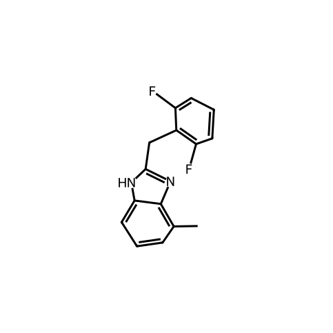 Cc1cccc2[nH]c(Cc3c(F)cccc3F)nc12